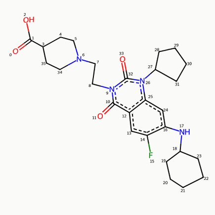 O=C(O)C1CCN(CCn2c(=O)c3cc(F)c(NC4CCCCC4)cc3n(C3CCCC3)c2=O)CC1